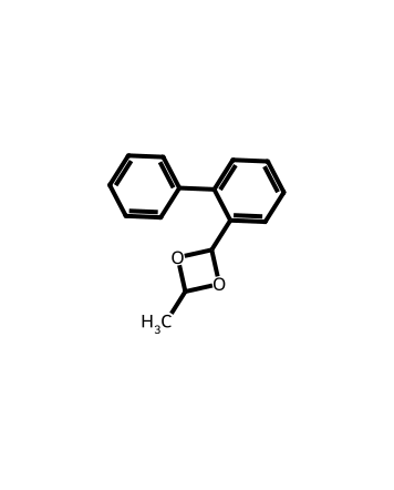 CC1OC(c2ccccc2-c2ccccc2)O1